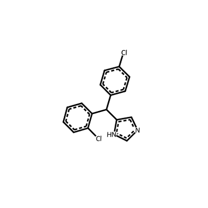 Clc1ccc(C(c2cnc[nH]2)c2ccccc2Cl)cc1